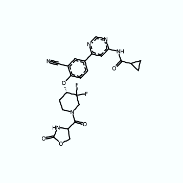 N#Cc1cc(-c2cc(NC(=O)C3CC3)ncn2)ccc1O[C@H]1CCN(C(=O)C2COC(=O)N2)CC1(F)F